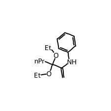 C=C(Nc1ccccc1)C(CCC)(OCC)OCC